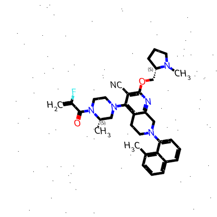 C=C(F)C(=O)N1CCN(c2c(C#N)c(OC[C@@H]3CCCN3C)nc3c2CCN(c2cccc4cccc(C)c24)C3)C[C@@H]1C